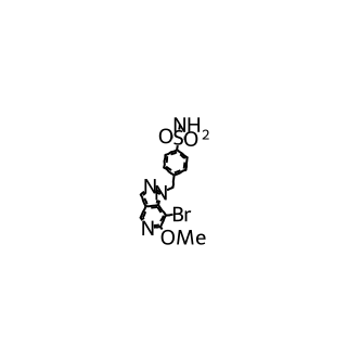 COc1ncc2cnn(Cc3ccc(S(N)(=O)=O)cc3)c2c1Br